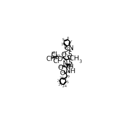 CC1(CSc2nc3ccccc3s2)S[C@@H]2C(NC(=O)Cc3ccccc3)C(=O)N2C1C(=O)OCC(Cl)(Cl)Cl